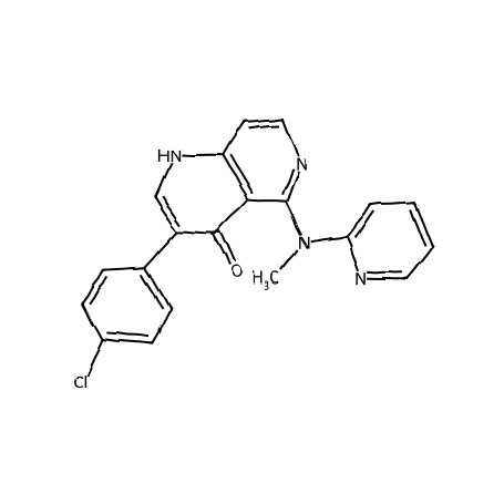 CN(c1ccccn1)c1nccc2[nH]cc(-c3ccc(Cl)cc3)c(=O)c12